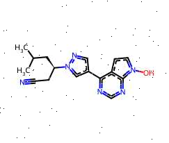 CC(C)C[C@H](CC#N)n1cc(-c2ncnc3c2ccn3O)cn1